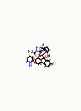 N#C[C@@H](C[C@H]1CCCNC1=O)NC(=O)[C@@H]1[C@H]2CC[C@H](CC2(F)F)N1C(=O)C1(O)c2ccccc2-c2ccc(Cl)cc21